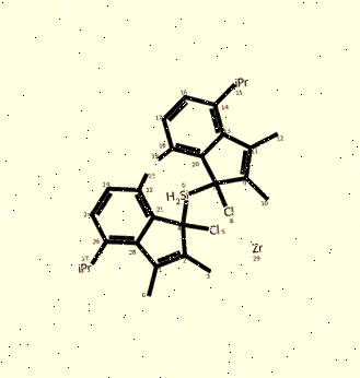 CC1=C(C)C(Cl)([SiH2]C2(Cl)C(C)=C(C)c3c(C(C)C)ccc(C)c32)c2c(C)ccc(C(C)C)c21.[Zr]